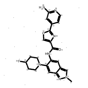 Cn1cc2cc(NC(=O)c3coc(-c4ccnc(N)c4)n3)c(N3CCC(F)CC3)cc2n1